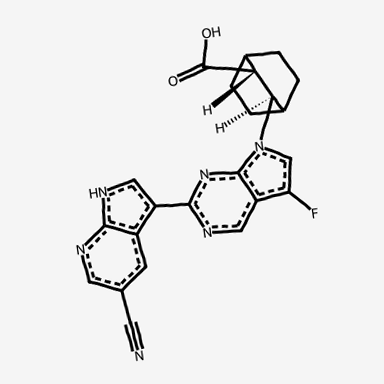 N#Cc1cnc2[nH]cc(-c3ncc4c(F)cn([C@@H]5C6CCC(CC6)[C@H]5C(=O)O)c4n3)c2c1